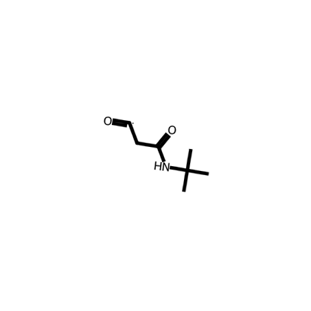 CC(C)(C)NC(=O)C[C]=O